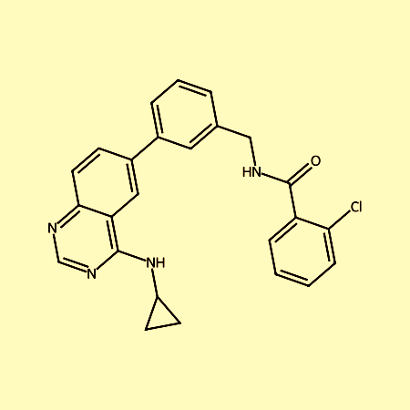 O=C(NCc1cccc(-c2ccc3ncnc(NC4CC4)c3c2)c1)c1ccccc1Cl